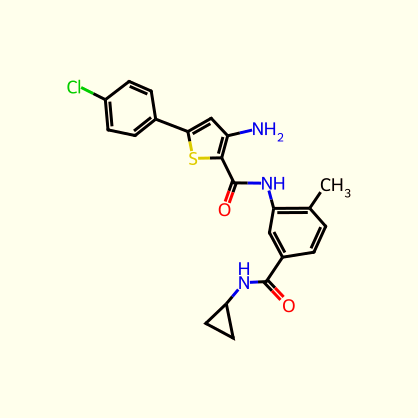 Cc1ccc(C(=O)NC2CC2)cc1NC(=O)c1sc(-c2ccc(Cl)cc2)cc1N